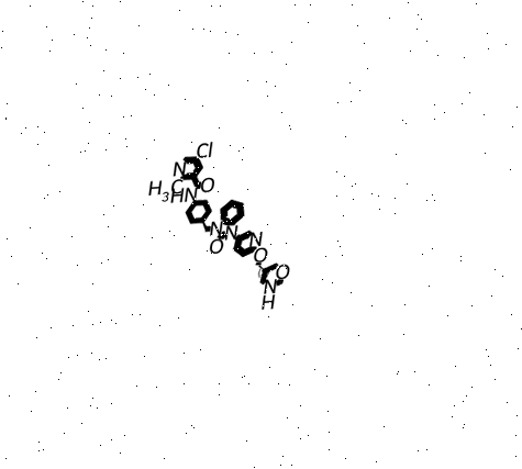 Cc1ncc(Cl)cc1C(=O)N[C@H]1CC[C@H](Cn2c(=O)n(-c3ccc(OC[C@H]4CNCOC4)nc3)c3ccccc32)CC1